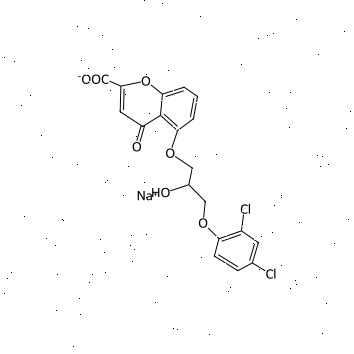 O=C([O-])c1cc(=O)c2c(OCC(O)COc3ccc(Cl)cc3Cl)cccc2o1.[Na+]